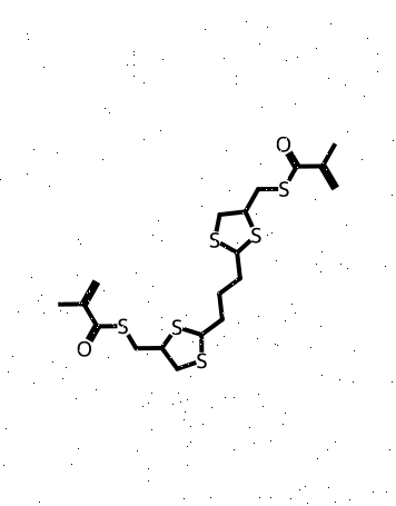 C=C(C)C(=O)SCC1CSC(CCCC2SCC(CSC(=O)C(=C)C)S2)S1